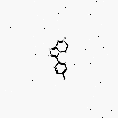 Cc1ccc(-c2nnc3n2CCN=C3)cc1